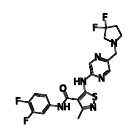 Cc1nsc(Nc2cnc(CN3CCC(F)(F)C3)cn2)c1C(=O)Nc1ccc(F)c(F)c1